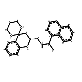 CC(NC[C@H]1CC2(OCCCO2)c2ccccc2O1)c1cccc2ccccc12